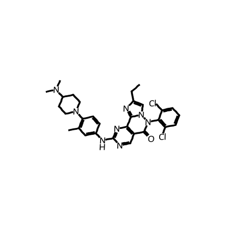 CCc1cn2c(n1)c1nc(Nc3ccc(N4CCC(N(C)C)CC4)c(C)c3)ncc1c(=O)n2-c1c(Cl)cccc1Cl